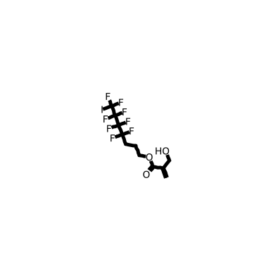 C=C(CO)C(=O)OCCCC(F)(F)C(F)(F)C(F)(F)C(F)(F)I